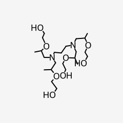 CC(CN(CCCN(CC(C)OCCO)CC(C)OCCO)CC(C)OCCO)OCCO